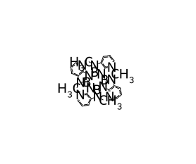 CN1B2N(B3N(C)c4cccnc4N3B3N(C)c4cccnc4N3B3N(C)c4cccnc4N23)c2ncccc21